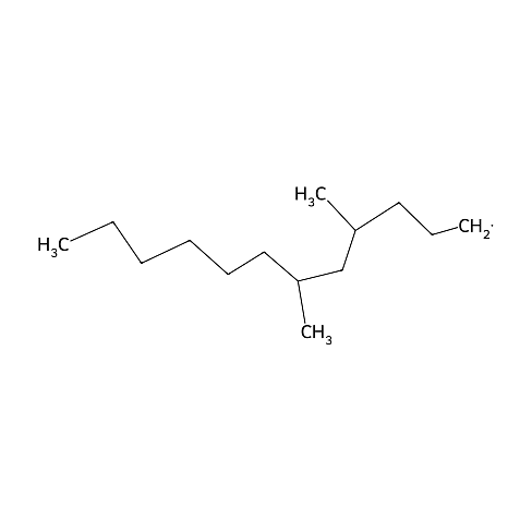 [CH2]CCC(C)CC(C)CCCCCC